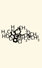 CC1=C(C(=O)O)C(c2cccc(Cl)c2Cl)C2=C(CN(C)CC(CCOC(=O)C(C)(C)C)S2(=O)=O)N1